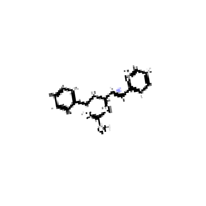 O=C(O)NC(/C=C/c1ccccn1)CCc1ccccc1